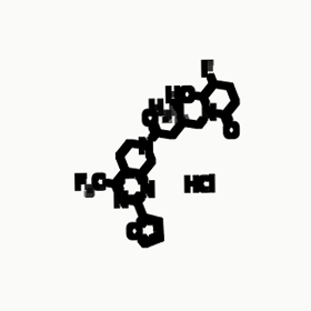 Cl.N[C@H](CC(=O)N1CCc2c(nc(-c3ccco3)nc2C(F)(F)F)C1)CN1C(=O)CCC(F)C1O